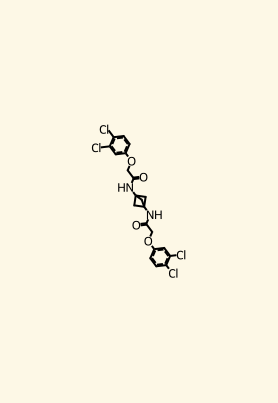 O=C(COc1ccc(Cl)c(Cl)c1)NC12CC(NC(=O)COc3ccc(Cl)c(Cl)c3)(C1)C2